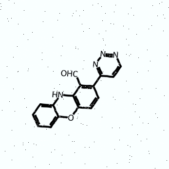 O=Cc1c(-c2ccnnn2)ccc2c1Nc1ccccc1O2